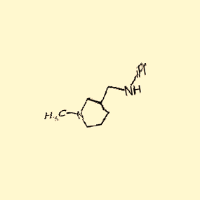 CC(C)NCC1CCCN(C)C1